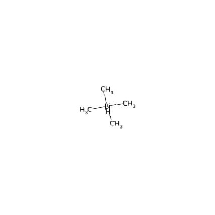 [CH3][BiH]([CH3])([CH3])[CH3]